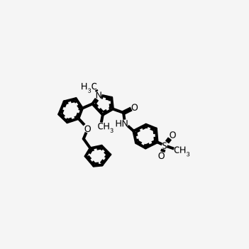 Cc1c(C(=O)Nc2ccc(S(C)(=O)=O)cc2)cn(C)c1-c1ccccc1OCc1ccccc1